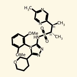 COc1cccc(OC)c1-n1c(NS(=O)(=O)[C@@H](C)[C@H](C)c2cnc(C)cn2)nnc1C1CCCOC1